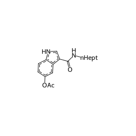 CCCCCCCNC(=O)c1c[nH]c2ccc(OC(C)=O)cc12